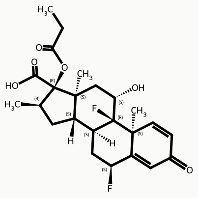 CCC(=O)O[C@]1(C(=O)O)[C@H](C)C[C@H]2[C@@H]3C[C@H](F)C4=CC(=O)C=C[C@]4(C)[C@@]3(F)[C@@H](O)C[C@@]21C